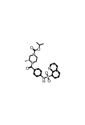 CC(C)OC(=O)N1CCN(C(=O)c2ccc(NS(=O)(=O)c3cccc4cccnc34)cc2)[C@@H](C)C1